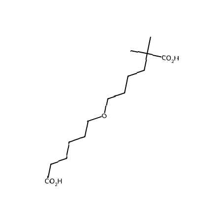 CC(C)(CCCCOCCCCCC(=O)O)C(=O)O